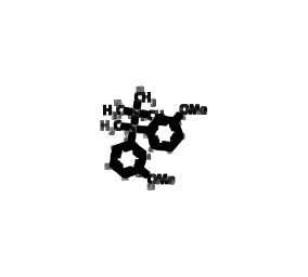 COc1cccc([Si](C)(c2cccc(OC)c2)[Si](C)(C)C)c1